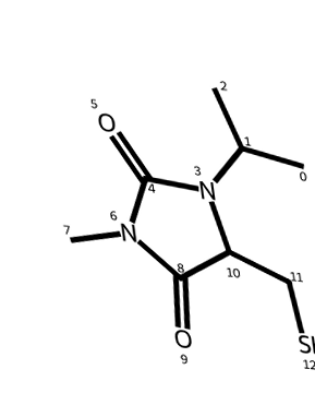 CC(C)N1C(=O)N(C)C(=O)C1CS